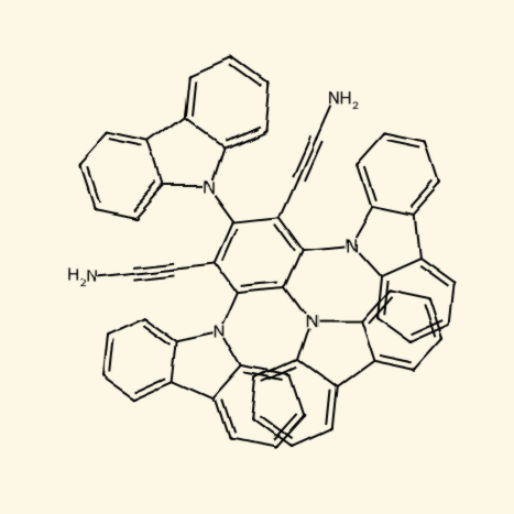 NC#Cc1c(-n2c3ccccc3c3ccccc32)c(C#CN)c(-n2c3ccccc3c3ccccc32)c(-n2c3ccccc3c3ccccc32)c1-n1c2ccccc2c2ccccc21